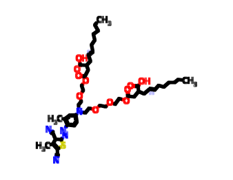 CCCCCC/C=C/CC(CC(=O)OCCOCCOCCN(CCOCCOC(=O)CC(C/C=C/CCCCCC)C(=O)O)c1ccc(/N=N/C2SC(C#N)=C(C)C2C#N)c(C)c1)C(=O)O